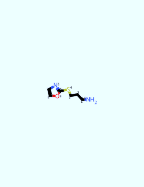 NCCCSc1ncco1